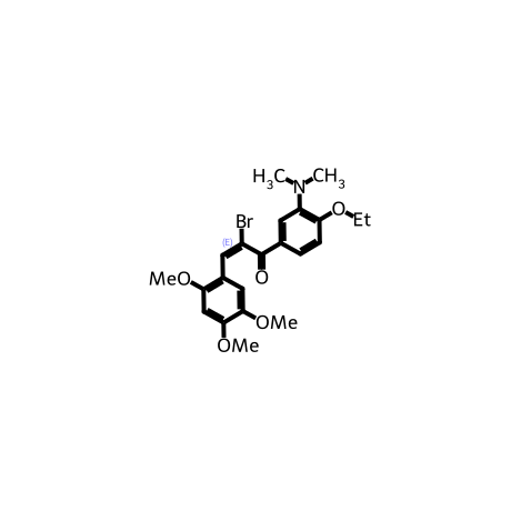 CCOc1ccc(C(=O)/C(Br)=C\c2cc(OC)c(OC)cc2OC)cc1N(C)C